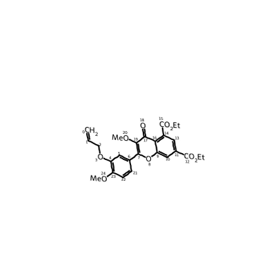 C=CCOc1cc(-c2oc3cc(C(=O)OCC)cc(C(=O)OCC)c3c(=O)c2OC)ccc1OC